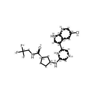 O=C(NCC(F)(F)F)[C@@H]1CC[C@H](Nc2cncc(-c3c[nH]c4ncc(Cl)cc34)n2)C1